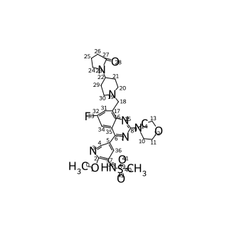 COc1ncc(-c2nc(N3CCOCC3)nc3c(CN4CCC(N5CCCC5=O)CC4)cc(F)cc23)cc1NS(C)(=O)=O